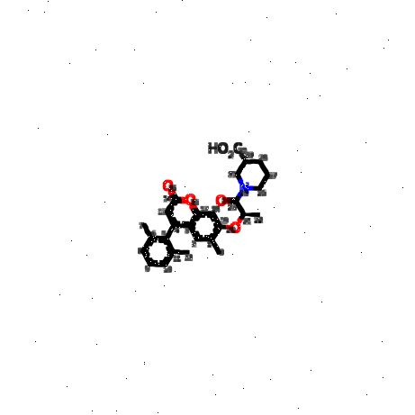 Cc1cc2c(-c3c(C)cccc3C)cc(=O)oc2cc1O[C@H](C)C(=O)N1CCC[C@H](C(=O)O)C1